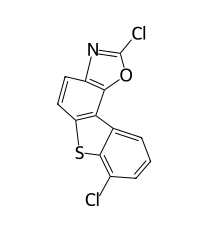 Clc1nc2ccc3sc4c(Cl)cccc4c3c2o1